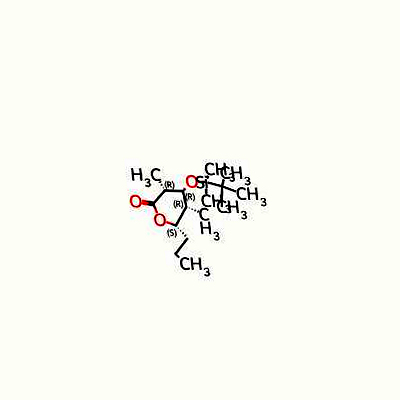 CCC[C@@H]1OC(=O)[C@H](C)[C@H](O[Si](C)(C)C(C)(C)C)[C@@H]1C